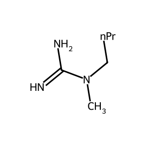 [CH2]CCCN(C)C(=N)N